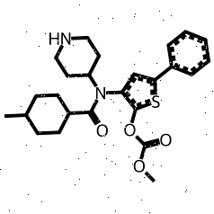 COC(=O)Oc1sc(-c2ccccc2)cc1N(C(=O)C1CCC(C)CC1)C1CCNCC1